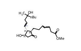 CCCCC(C)(O)C/C=C/[C@H]1[C@H](O)CC(=O)[C@@H]1CCC=C=CCC(=O)OC